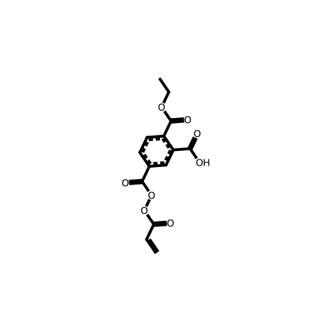 C=CC(=O)OOC(=O)c1ccc(C(=O)OCC)c(C(=O)O)c1